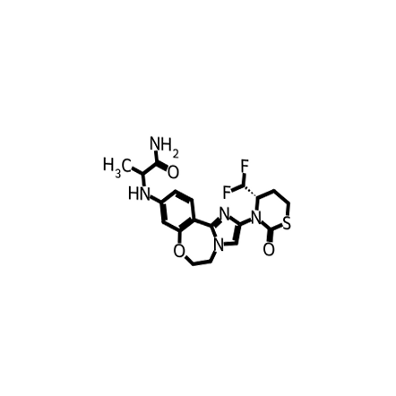 CC(Nc1ccc2c(c1)OCCn1cc(N3C(=O)SCC[C@H]3C(F)F)nc1-2)C(N)=O